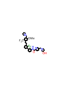 COc1cc(/C=C/c2cccc(-c3cccc(NC(=O)c4ccc(CN5CC[C@@H](O)C5)cn4)c3F)c2F)c(C(F)(F)F)cc1CN1CCCC1